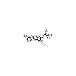 CCOc1cc(O[C@H]2CCc3c(C)cccc32)c(Cl)cc1CN[C@H](C)[C@@H](C)O